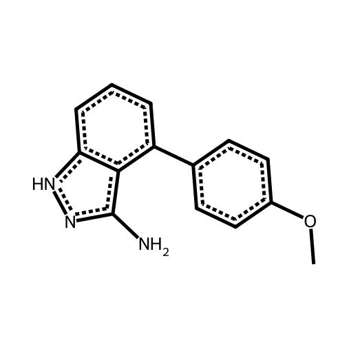 COc1ccc(-c2cccc3[nH]nc(N)c23)cc1